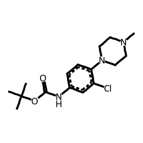 CN1CCN(c2ccc(NC(=O)OC(C)(C)C)cc2Cl)CC1